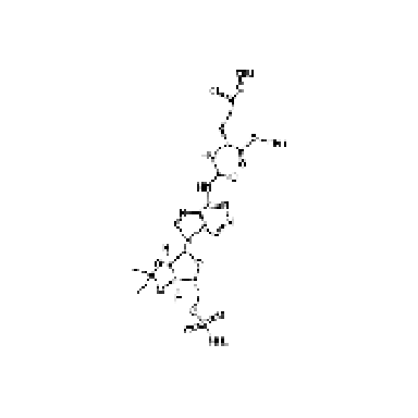 CC(C)(C)OC(=O)CC[C@H](NC(=O)Nc1nncc2c1ncn2[C@@H]1O[C@H](COS(N)(=O)=O)[C@H]2OC(C)(C)O[C@H]21)C(=O)OC(C)(C)C